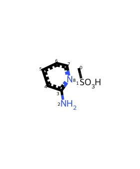 CS(=O)(=O)O.Nc1ccccn1